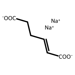 O=C([O-])C=CCCC(=O)[O-].[Na+].[Na+]